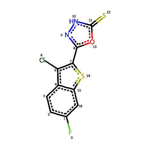 Fc1ccc2c(Cl)c(-c3n[nH]c(=S)o3)sc2c1